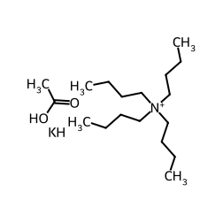 CC(=O)O.CCCC[N+](CCCC)(CCCC)CCCC.[KH]